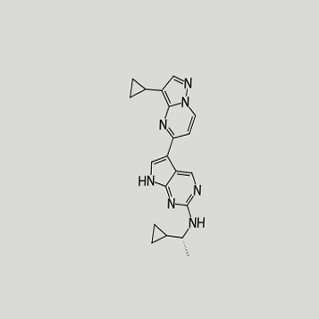 C[C@@H](Nc1ncc2c(-c3ccn4ncc(C5CC5)c4n3)c[nH]c2n1)C1CC1